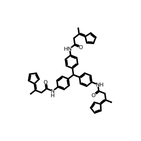 CC(CC(=O)Nc1ccc(C(c2ccc(NC(=O)CC(C)=C3C=CC=C3)cc2)c2ccc(NC(=O)CC(C)=C3C=CC=C3)cc2)cc1)=C1C=CC=C1